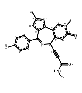 CCNC(=O)C#CC1N=C(c2ccc(Cl)cc2)c2nc(C)sc2-c2cn(C)c(=O)cc21